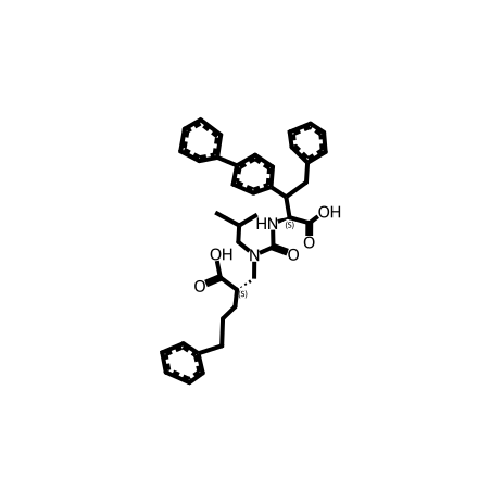 CC(C)CN(C[C@H](CCCc1ccccc1)C(=O)O)C(=O)N[C@H](C(=O)O)C(Cc1ccccc1)c1ccc(-c2ccccc2)cc1